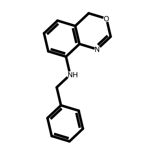 C1=Nc2c(cccc2NCc2ccccc2)CO1